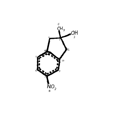 CC1(O)Cc2ccc([N+](=O)[O-])cc2C1